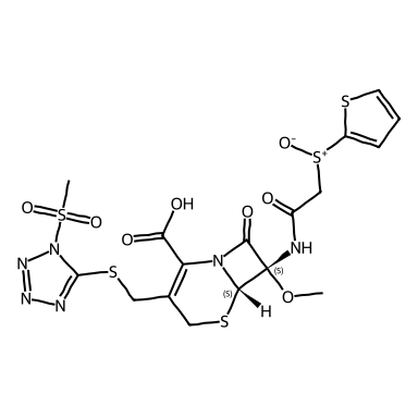 CO[C@@]1(NC(=O)C[S+]([O-])c2cccs2)C(=O)N2C(C(=O)O)=C(CSc3nnnn3S(C)(=O)=O)CS[C@H]21